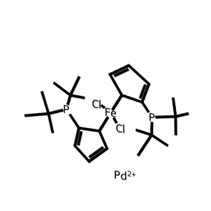 CC(C)(C)P(C1=CC=C[CH]1[Fe]([Cl])([Cl])[CH]1C=CC=C1P(C(C)(C)C)C(C)(C)C)C(C)(C)C.[Pd+2]